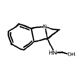 ONC12CN1c1ccccc12